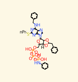 CCCSc1nc(NCc2ccccc2)c2ncn([C@@H]3O[C@H](COP(=O)(O)OP(=O)(O)OP(=O)(O)Nc4ccccc4)[C@@H]4OC(Cc5ccccc5)OC43)c2n1